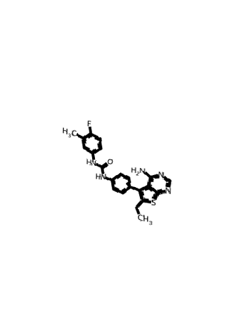 CCc1sc2ncnc(N)c2c1-c1ccc(NC(=O)Nc2ccc(F)c(C)c2)cc1